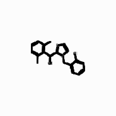 Cc1cccc(C)c1C(O)c1nccn1Cc1ccccc1Cl